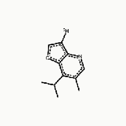 [2H]c1coc2c(C(C)C)c(C)cnc12